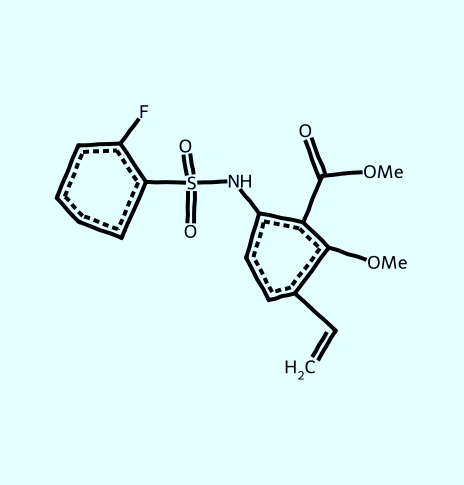 C=Cc1ccc(NS(=O)(=O)c2ccccc2F)c(C(=O)OC)c1OC